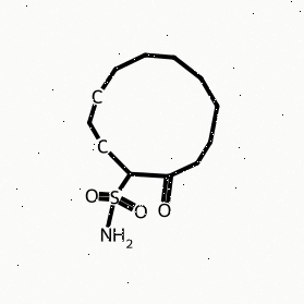 NS(=O)(=O)C1CCCCCCCCCCC1=O